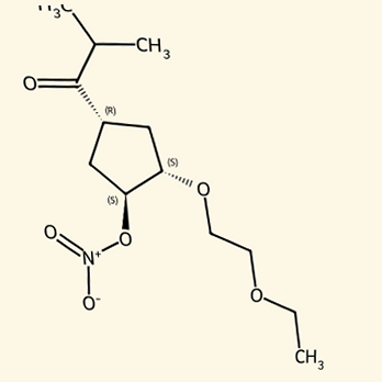 CCOCCO[C@H]1C[C@@H](C(=O)C(C)C)C[C@@H]1O[N+](=O)[O-]